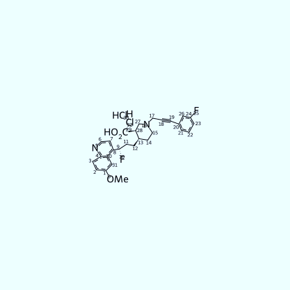 COc1ccc2nccc([C@@H](F)CC[C@@H]3CCN(CC#Cc4cccc(F)c4)C[C@@H]3C(=O)O)c2c1.Cl.Cl